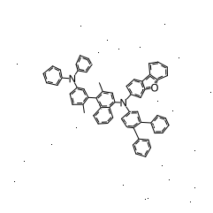 Cc1ccc(N(c2ccccc2)c2ccccc2)cc1-c1c(C)cc(N(c2ccc(-c3ccccc3)c(-c3ccccc3)c2)c2ccc3c(c2)oc2ccccc23)c2ccccc12